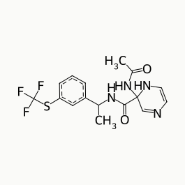 CC(=O)NC1(C(=O)NC(C)c2cccc(SC(F)(F)F)c2)C=NC=CN1